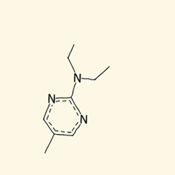 CCN(CC)c1ncc(C)cn1